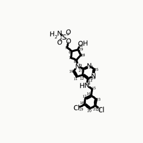 NS(=O)(=O)OCC1CC(n2ccc3c(NCc4cc(Cl)cc(Cl)c4)ncnc32)CC1O